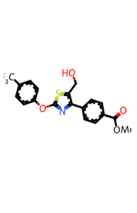 COC(=O)c1ccc(-c2nc(Oc3ccc(C(F)(F)F)cc3)sc2CO)cc1